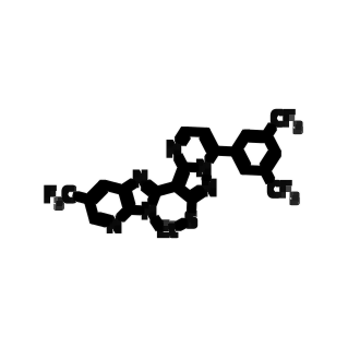 CCSc1nn2c(-c3cc(C(F)(F)F)cc(C(F)(F)F)c3)ccnc2c1-c1nc2cc(C(F)(F)F)cnc2n1C